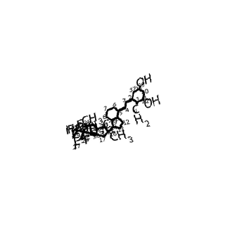 C=C1/C(=C\C=C2/CCC[C@@]3(C)C2CCC3[C@@](C)(CC#CC(O)(C(F)(F)F)C(F)(F)F)CCCC(C)(C)O)C[C@@H](O)C[C@@H]1O